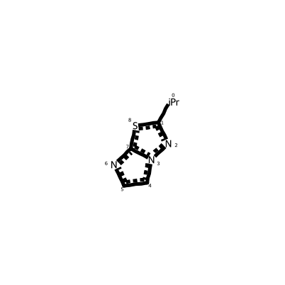 CC(C)c1nn2ccnc2s1